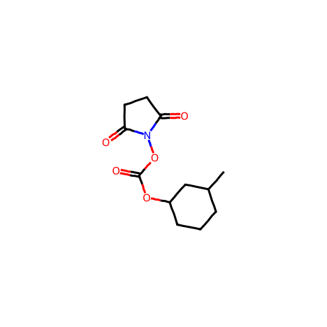 CC1CCCC(OC(=O)ON2C(=O)CCC2=O)C1